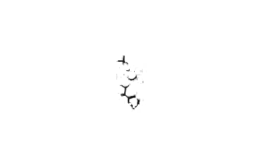 CC(C[C@@H](NC(=O)OC(C)(C)C)C(=O)O)C(=O)c1ccccc1